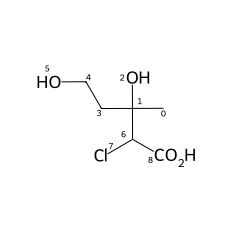 CC(O)(CCO)C(Cl)C(=O)O